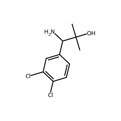 CC(C)(O)C(N)c1ccc(Cl)c(Cl)c1